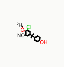 [2H]COc1c(Cl)cc(C(C)(C)c2ccc(O)cc2)cc1C#N